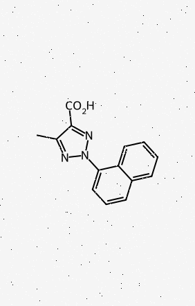 Cc1nn(-c2cccc3ccccc23)nc1C(=O)O